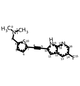 CN(C)Cc1ccc(C#Cc2cc3cc(F)cnc3[nH]2)s1